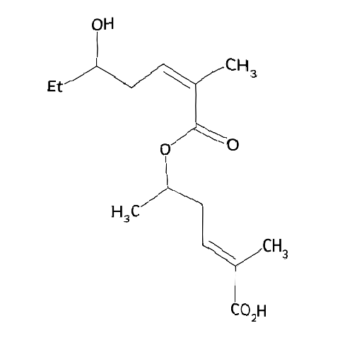 CCC(O)CC=C(C)C(=O)OC(C)CC=C(C)C(=O)O